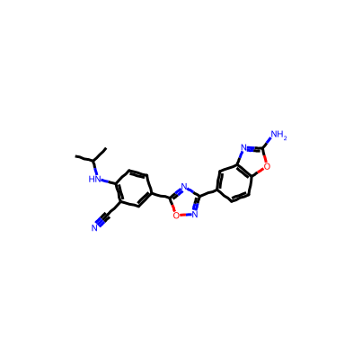 CC(C)Nc1ccc(-c2nc(-c3ccc4oc(N)nc4c3)no2)cc1C#N